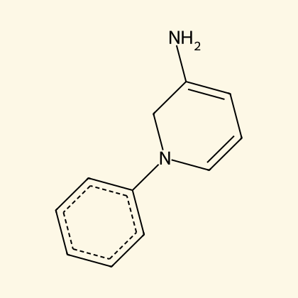 NC1=CC=CN(c2ccccc2)C1